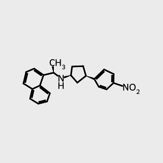 C[C@@H](N[C@H]1CC[C@@H](c2ccc([N+](=O)[O-])cc2)C1)c1cccc2ccccc12